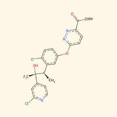 COC(=O)c1ccc(Oc2ccc(Cl)c([C@@H](C)[C@@](O)(c3ccnc(Cl)c3)C(F)(F)F)c2)nn1